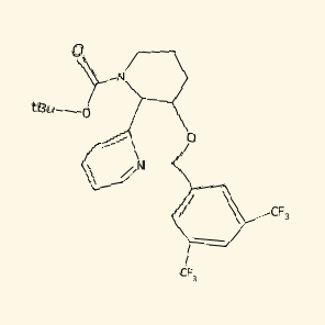 CC(C)(C)OC(=O)N1CCCC(OCc2cc(C(F)(F)F)cc(C(F)(F)F)c2)C1c1ccccn1